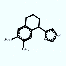 COc1cc2c(cc1OC)C(c1c[nH]cn1)CCC2